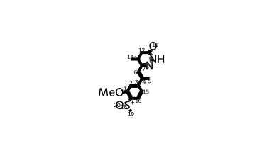 COc1cc(C(C)=CC2=NNC(=O)CC2C)ccc1[S+](C)[O-]